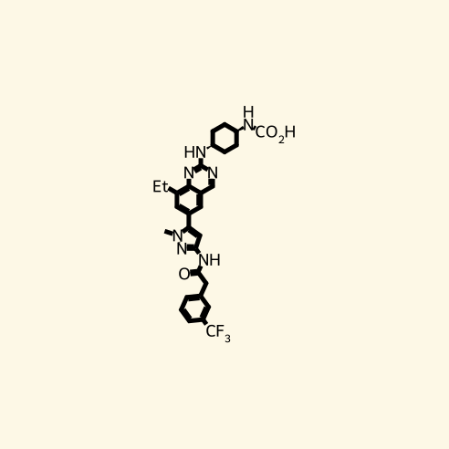 CCc1cc(-c2cc(NC(=O)Cc3cccc(C(F)(F)F)c3)nn2C)cc2cnc(N[C@H]3CC[C@H](NC(=O)O)CC3)nc12